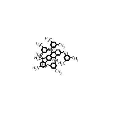 Cc1cc(C)cc(NC2=CCC3(C)C(=C2)C(Nc2cc(C)cc(C)c2)=c2cc4c(cc2=C3N(c2cc(C)cc(C)c2)c2cc(C)cc(C)c2)C(C)(C)c2cc(N)ccc2-4)c1